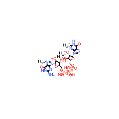 COC1[C@@H](COP(=O)(O)OP(=O)(O)OP(=O)(O)OC[C@H]2O[C@@H](n3c[n+](C)c4c(=O)[nH]c(N)nc43)C(O)[C@H]2O)O[C@@H](n2cnc3c(=O)[nH]c(C)nc32)[C@H]1OC